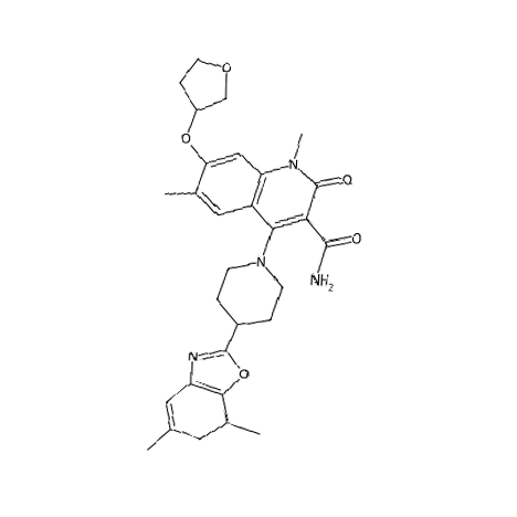 CC1=Cc2nc(C3CCN(c4c(C(N)=O)c(=O)n(C)c5cc(OC6CCOC6)c(C)cc45)CC3)oc2C(C)C1